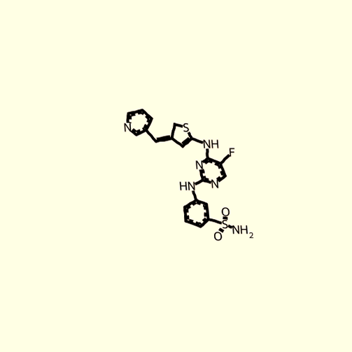 NS(=O)(=O)c1cccc(Nc2ncc(F)c(NC3=C/C(=C/c4cccnc4)CS3)n2)c1